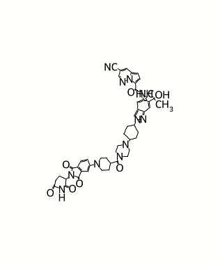 CC(C)(O)c1cc2nn(C3CCC(N4CCN(C(=O)C5CCN(c6ccc7c(c6)C(=O)N(C6CCC(=O)NC6=O)C7=O)CC5)CC4)CC3)cc2cc1NC(=O)c1ccc2cc(C#N)cnn12